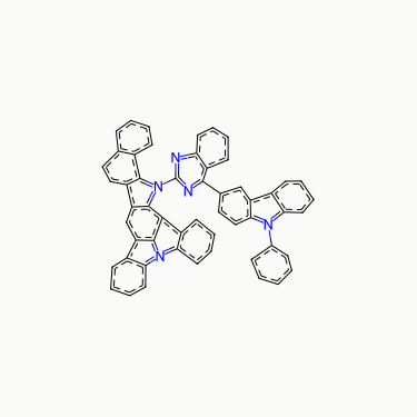 c1ccc(-n2c3ccccc3c3cc(-c4nc(-n5c6c7ccccc7ccc6c6cc7c8ccccc8n8c9ccccc9c(c65)c78)nc5ccccc45)ccc32)cc1